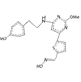 COc1ccc(CCNc2cc(-c3ccc(C=NO)s3)nc(OC)n2)cc1